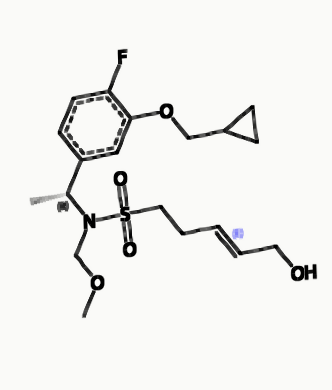 COCN([C@H](C)c1ccc(F)c(OCC2CC2)c1)S(=O)(=O)CC/C=C/CO